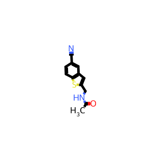 CC(=O)NCc1cc2cc(C#N)ccc2s1